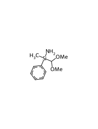 COC(OC)[Si](C)(N)c1ccccc1